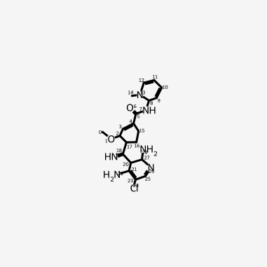 COC1C=C(C(=O)NC2C=CC=CN2C)CCC1C(=N)C1C(N)=C(Cl)C=NC1N